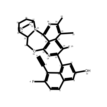 C#Cc1c(F)ccc2cc(O)cc(-c3nc4c5c(nc(C)c(C)c5c3F)N3C5CCC(NC5)C3CO4)c12